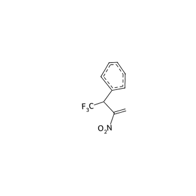 C=C(C(c1ccccc1)C(F)(F)F)[N+](=O)[O-]